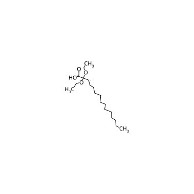 CCCCCCCCCCCC[CH]C(OCC)(OCC)C(=O)O